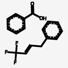 FC(F)(F)C=CCc1ccccc1.O=C(O)c1ccccc1